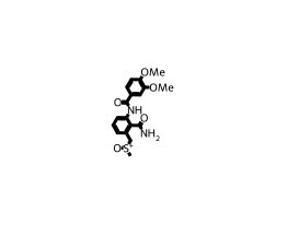 COc1ccc(C(=O)Nc2cccc(C[S+](C)[O-])c2C(N)=O)cc1OC